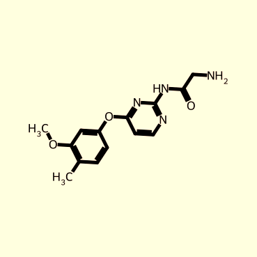 COc1cc(Oc2ccnc(NC(=O)CN)n2)ccc1C